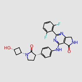 O=C1NCc2nc(-c3c(F)cccc3F)nc(Nc3ccc([C@@H]4CCN([C@H]5C[C@@H](O)C5)C4=O)cc3)c21